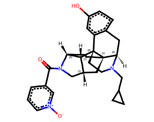 O=C(c1ccc[n+]([O-])c1)N1C[C@H]2C[C@@]34CC[C@@H]1[C@@H]2[C@@]31CCN(CC2CC2)[C@@H]4Cc2ccc(O)cc21